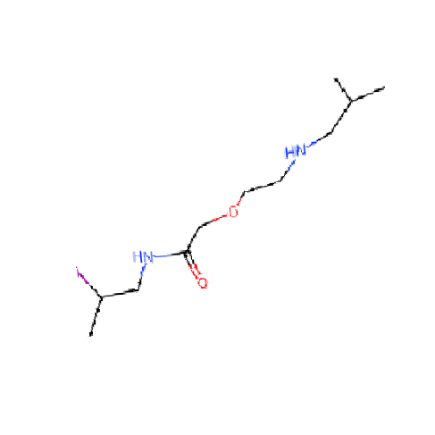 CC(C)CNCCOCC(=O)NCC(C)I